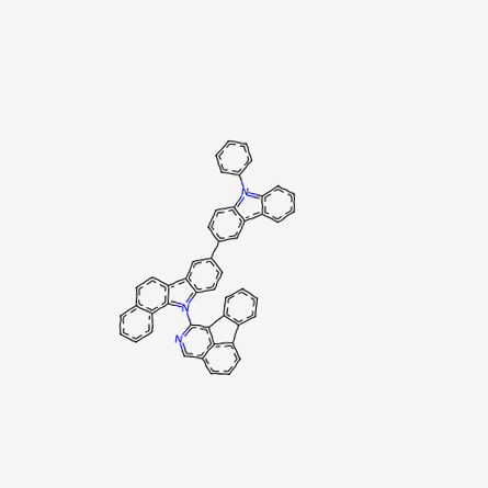 c1ccc(-n2c3ccccc3c3cc(-c4ccc5c(c4)c4ccc6ccccc6c4n5-c4ncc5cccc6c5c4-c4ccccc4-6)ccc32)cc1